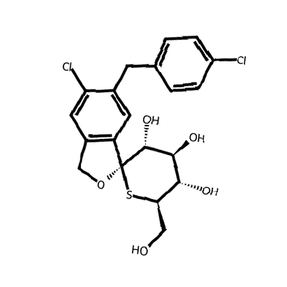 OC[C@H]1S[C@]2(OCc3cc(Cl)c(Cc4ccc(Cl)cc4)cc32)[C@H](O)[C@@H](O)[C@@H]1O